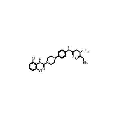 CN(CC(=O)Nc1ccc(N2CCN(C(=O)Nc3c(Cl)cccc3Cl)CC2)cc1)C(=O)CC(C)(C)C